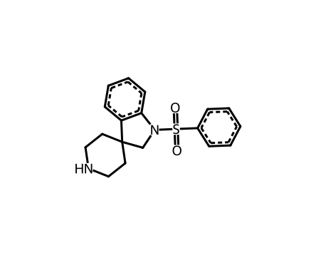 O=S(=O)(c1ccccc1)N1CC2(CCNCC2)c2ccccc21